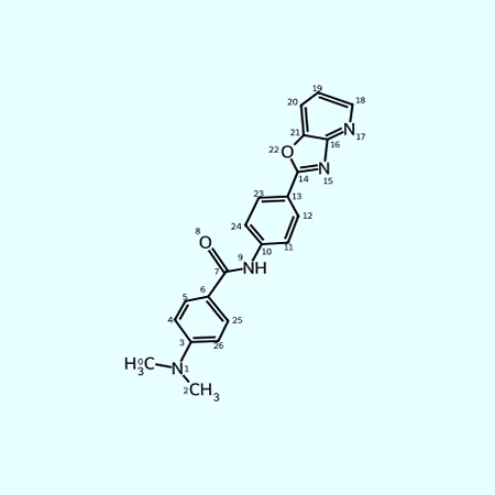 CN(C)c1ccc(C(=O)Nc2ccc(-c3nc4ncccc4o3)cc2)cc1